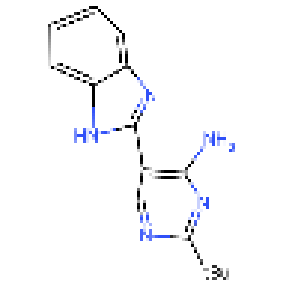 CC(C)(C)c1ncc(-c2nc3ccccc3[nH]2)c(N)n1